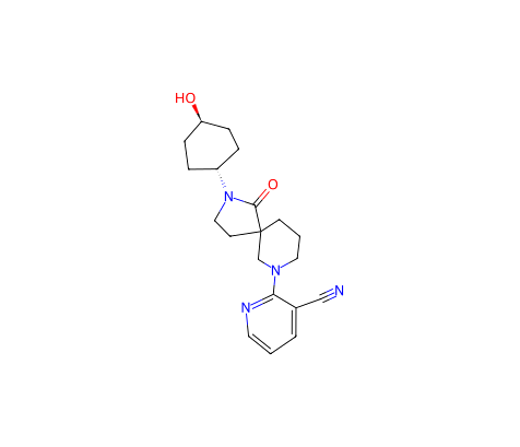 N#Cc1cccnc1N1CCCC2(CCN([C@H]3CC[C@H](O)CC3)C2=O)C1